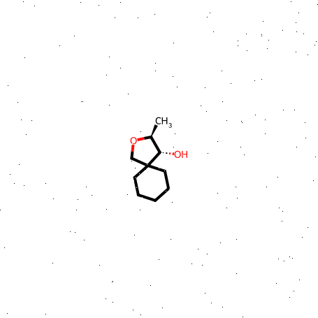 C[C@@H]1OCC2(CCCCC2)[C@H]1O